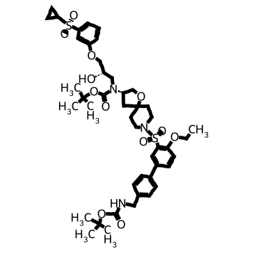 CCOc1ccc(-c2ccc(CNC(=O)OC(C)(C)C)cc2)cc1S(=O)(=O)N1CCC2(CC1)C[C@H](N(C[C@H](O)COc1cccc(S(=O)(=O)C3CC3)c1)C(=O)OC(C)(C)C)CO2